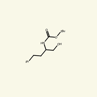 CC(C)CCC(CO)NC(=O)OC(C)(C)C